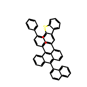 c1ccc(-c2ccc(-c3c4ccccc4c(-c4cccc5ccccc45)c4cccc(-c5ccc6sc7ccccc7c6c5)c34)cc2)cc1